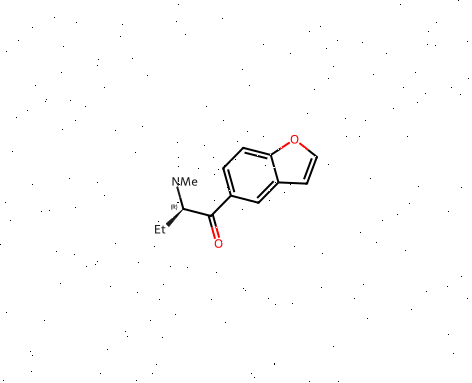 CC[C@@H](NC)C(=O)c1ccc2occc2c1